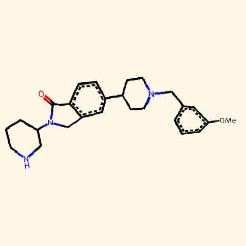 COc1cccc(CN2CCC(c3ccc4c(c3)CN(C3CCCNC3)C4=O)CC2)c1